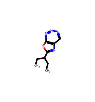 CCC(CC)c1nc2cnnnc2o1